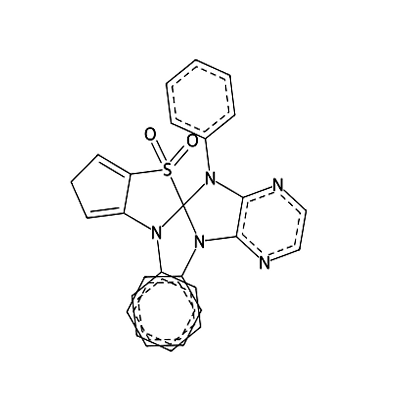 O=S1(=O)C2=CCC=C2N(c2ccccc2)C12N(c1ccccc1)c1nccnc1N2c1ccccc1